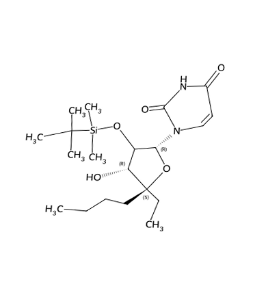 CCCC[C@]1(CC)O[C@@H](n2ccc(=O)[nH]c2=O)C(O[Si](C)(C)C(C)(C)C)[C@H]1O